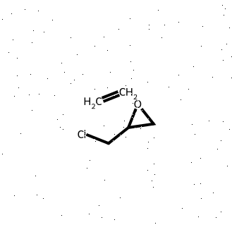 C=C.ClCC1CO1